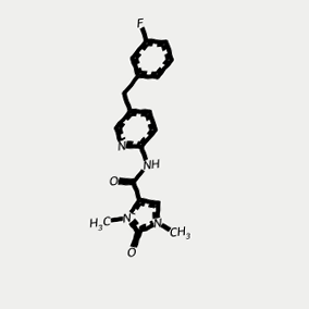 Cn1cc(C(=O)Nc2ccc(Cc3cccc(F)c3)cn2)n(C)c1=O